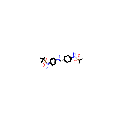 CC(C)S(=O)(=O)N[C@H]1CC[C@H](CNc2ccc(NS(=O)(=O)C(C)(C)C)cc2)CC1